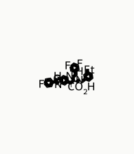 CCc1cccc(CNC[C@H](C(N)Cc2cc(F)cc(F)c2)[C@H](C(=O)O)c2ccc3oc(-c4ccc(F)cc4)nc3c2)c1